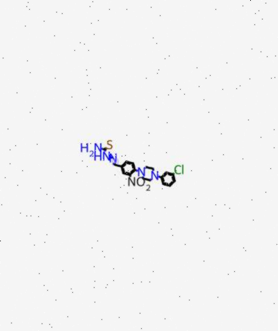 NC(=S)N/N=C/c1ccc(N2CCN(c3cccc(Cl)c3)CC2)c([N+](=O)[O-])c1